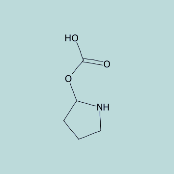 O=C(O)OC1CCCN1